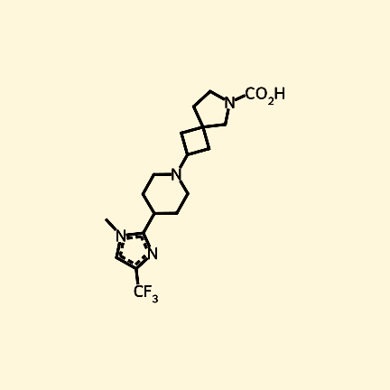 Cn1cc(C(F)(F)F)nc1C1CCN(C2CC3(CCN(C(=O)O)C3)C2)CC1